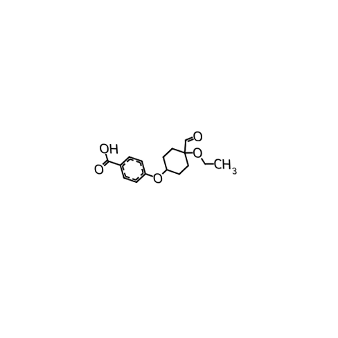 CCOC1(C=O)CCC(Oc2ccc(C(=O)O)cc2)CC1